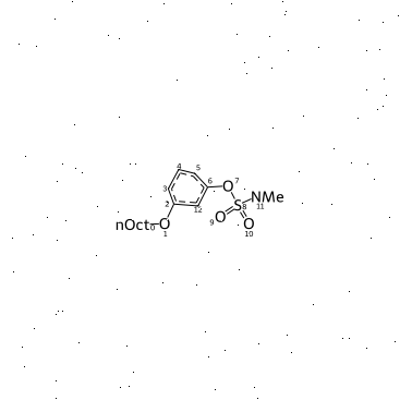 CCCCCCCCOc1cccc(OS(=O)(=O)NC)c1